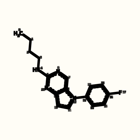 CCCCNc1ncc2c(ccn2-c2ccc(F)cc2)n1